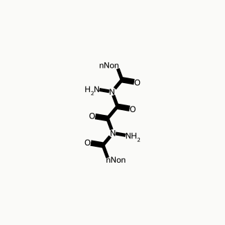 CCCCCCCCCC(=O)N(N)C(=O)C(=O)N(N)C(=O)CCCCCCCCC